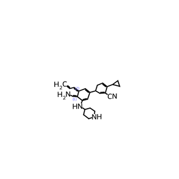 C=C/C=c1/cc(C2C=C(C#N)C(C3CC3)=CC2)cc(NC2CCNCC2)/c1=C/N